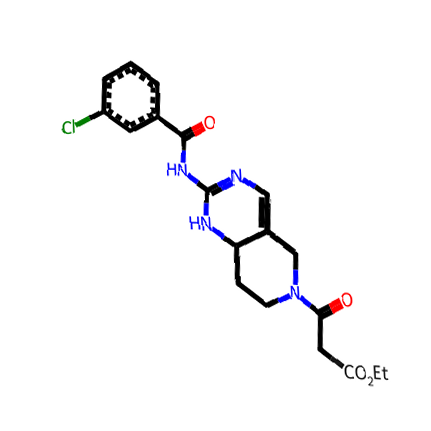 CCOC(=O)CC(=O)N1CCC2NC(NC(=O)c3cccc(Cl)c3)=NC=C2C1